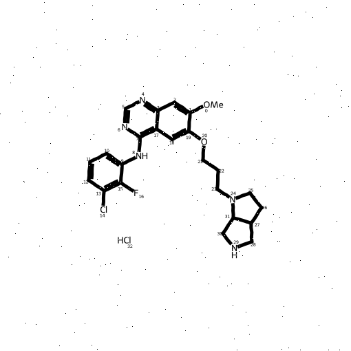 COc1cc2ncnc(Nc3cccc(Cl)c3F)c2cc1OCCCN1CCC2CNCC21.Cl